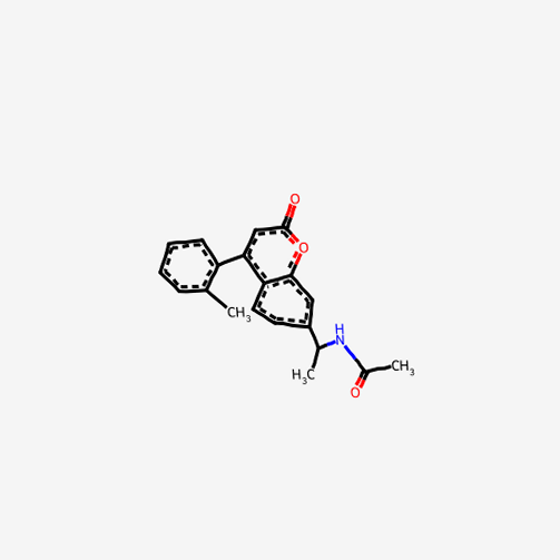 CC(=O)NC(C)c1ccc2c(-c3ccccc3C)cc(=O)oc2c1